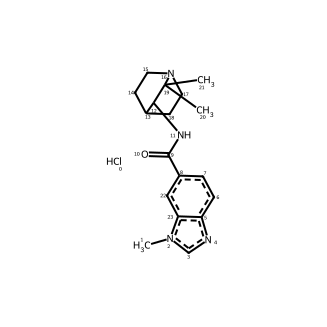 Cl.Cn1cnc2ccc(C(=O)NC3C4CCN(CC4)C3(C)C)cc21